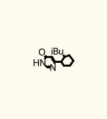 CCC(C)C1CCCCC1c1cc(=O)[nH]cn1